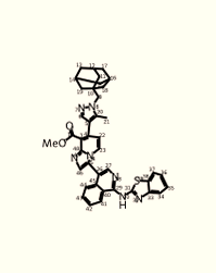 COC(=O)c1c(-c2cnn(CC34CC5CC(CC(C5)C3)C4)c2C)ccn2c(-c3cnc(Nc4nc5ccccc5s4)c4ccccc34)cnc12